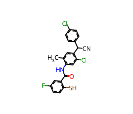 Cc1cc(C(C#N)c2ccc(Cl)cc2)c(Cl)cc1NC(=O)c1cc(F)ccc1S